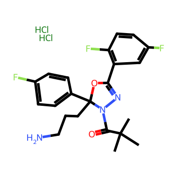 CC(C)(C)C(=O)N1N=C(c2cc(F)ccc2F)OC1(CCCN)c1ccc(F)cc1.Cl.Cl